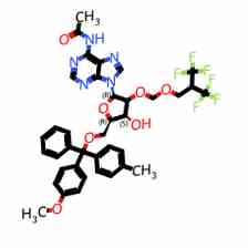 COc1ccc(C(OC[C@H]2O[C@@H](n3cnc4c(NC(C)=O)ncnc43)C(OCOCC(C(F)(F)F)C(F)(F)F)[C@H]2O)(c2ccccc2)c2ccc(C)cc2)cc1